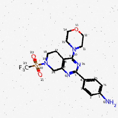 Nc1ccc(-c2nc3c(c(N4CCOCC4)n2)CCN(S(=O)(=O)C(F)(F)F)C3)cc1